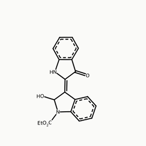 CCOC(=O)N1c2ccccc2/C(=C2/Nc3ccccc3C2=O)C1O